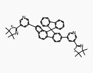 CC1(C)N=C(c2cncc(-c3ccc4c(c3)C3(c5ccccc5-c5ccccc53)c3c-4ccc4cc(-c5cncc(C6=NC(C)(C)C(C)(C)S6)c5)ccc34)c2)SC1(C)C